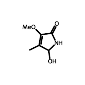 COC1=C(C)C(O)NC1=O